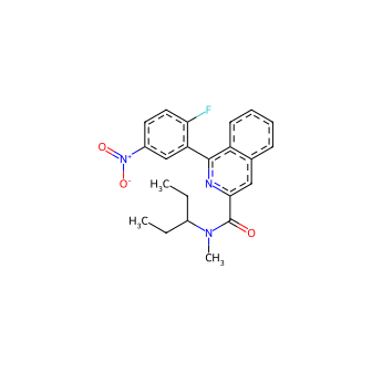 CCC(CC)N(C)C(=O)c1cc2ccccc2c(-c2cc([N+](=O)[O-])ccc2F)n1